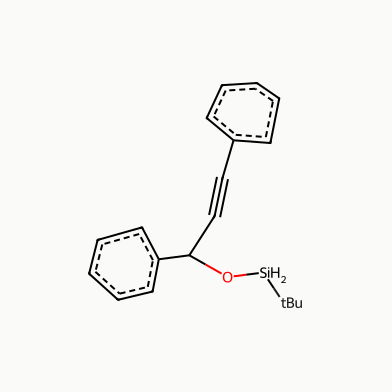 CC(C)(C)[SiH2]OC(C#Cc1ccccc1)c1ccccc1